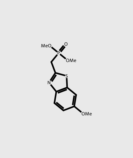 COc1ccc2nc(CP(=O)(OC)OC)sc2c1